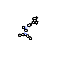 c1ccc2c(c1)-c1cccc3cc(-c4ccc(-n5c6ccccc6c6cc(-n7c8cc9ccccc9cc8c8cc9ccccc9cc87)ccc65)cc4)cc-2c13